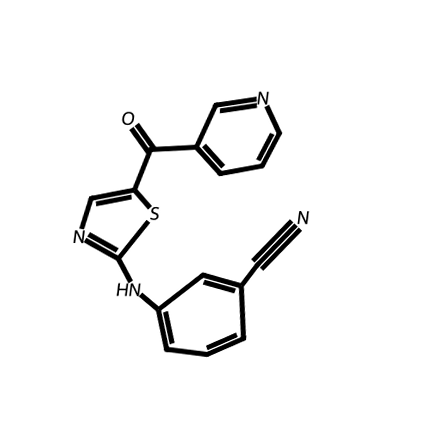 N#Cc1cccc(Nc2ncc(C(=O)c3cccnc3)s2)c1